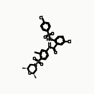 Cc1cc(NC(=O)c2cc(Cl)ccc2NS(=O)(=O)c2ccc(Cl)cc2)ccc1S(=O)(=O)N1C[C@@H](C)O[C@@H](C)C1